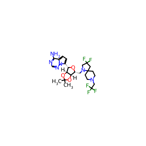 CC1(C)O[C@@H]2[C@H](O1)[C@@H](CN1CC(F)(F)CC13CCN(CC(F)(F)F)CC3)O[C@H]2c1ccc2c(N)ncnn12